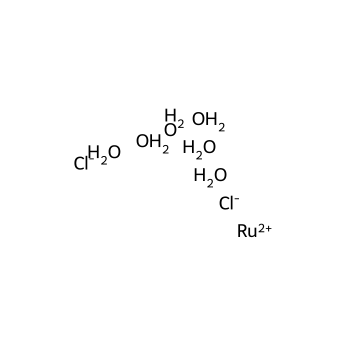 O.O.O.O.O.O.[Cl-].[Cl-].[Ru+2]